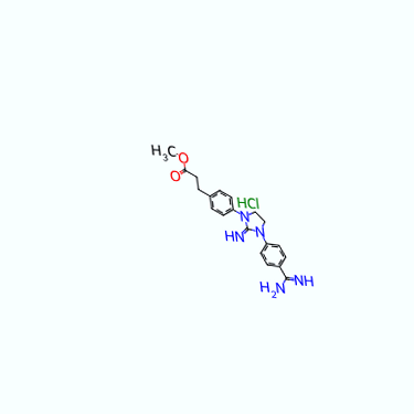 COC(=O)CCc1ccc(N2CCN(c3ccc(C(=N)N)cc3)C2=N)cc1.Cl